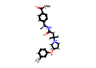 COC(=O)c1ccc([C@H](C)NC(=O)CC(C)(C)N2CC[C@@H](Oc3cccc(C(F)(F)F)c3)C2)cc1